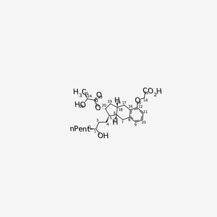 CCCCC[C@H](O)CC[C@@H]1[C@H]2Cc3cccc(OCC(=O)O)c3C[C@H]2C[C@H]1OC(=O)[C@H](C)O